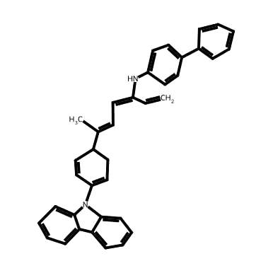 C=C/C(=C\C=C(/C)C1C=CC(n2c3ccccc3c3ccccc32)=CC1)Nc1ccc(-c2ccccc2)cc1